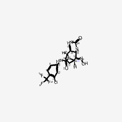 O=C(Nc1ccc(C(F)(F)F)c(Cl)c1)N1[C@@H]2CC[C@H]1/C(=N\O)c1nc(=O)[nH]cc12